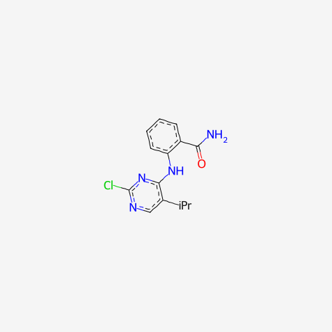 CC(C)c1cnc(Cl)nc1Nc1ccccc1C(N)=O